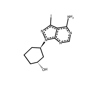 Nc1ncnc2c1c(I)nn2[C@@H]1CCC[C@@H](O)C1